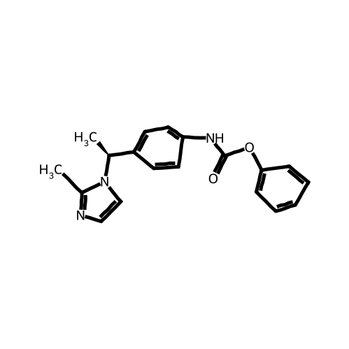 Cc1nccn1[C@@H](C)c1ccc(NC(=O)Oc2ccccc2)cc1